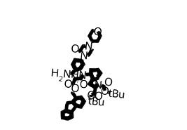 CC(C)(C)OC(=O)c1cc2c(NC(=O)[C@@H](C(=O)OCc3cccc4c3Cc3ccccc3-4)C(N)c3ccc(N4CCN(C5CCOCC5)CC4=O)cc3)cccc2n1C(=O)OC(C)(C)C